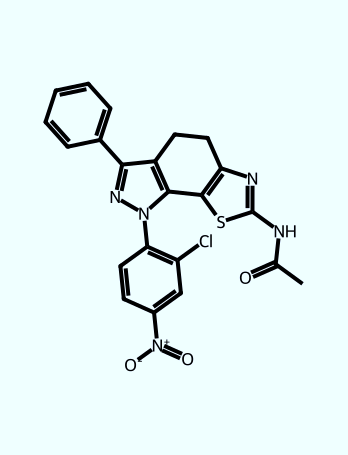 CC(=O)Nc1nc2c(s1)-c1c(c(-c3ccccc3)nn1-c1ccc([N+](=O)[O-])cc1Cl)CC2